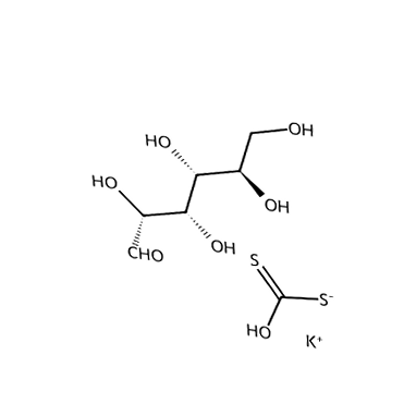 O=C[C@H](O)[C@@H](O)[C@H](O)[C@H](O)CO.OC(=S)[S-].[K+]